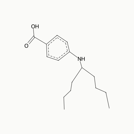 CCCCC(CCCC)Nc1ccc(C(=O)O)cc1